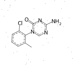 Cc1cccc(Cl)c1-n1cnc(N)nc1=O